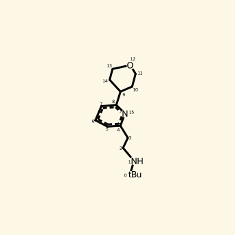 CC(C)(C)NCCc1cccc(C2CCOCC2)n1